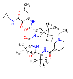 CCC[C@H](NC(=O)[C@@H]1C[C@@]2(CN1C(=O)[C@@H](NC(=O)[C@@H](NC(=O)[C@@H]1CCCN(CC)C1)C(C)(C)C)C(C)(C)C)C(C)(C)C21CCC1)C(=O)C(=O)NC1CC1